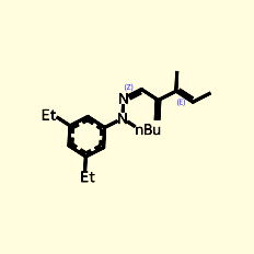 C=C(/C=N\N(CCCC)c1cc(CC)cc(CC)c1)/C(C)=C/C